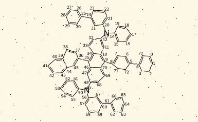 C1=CCCC(C2=CC=C(c3c4cc(N(c5ccccc5)c5cccc(-c6ccccc6)c5)ccc4c(-c4ccc5ccccc5c4)c4cc(N(c5ccccc5)c5cccc(-c6ccccc6)c5)ccc34)CC2)=C1